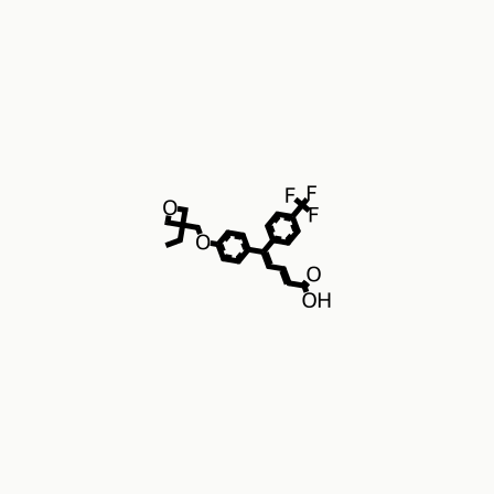 CCC1(COc2ccc(C(=CC=CC(=O)O)c3ccc(C(F)(F)F)cc3)cc2)COC1